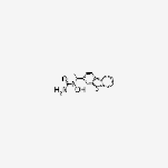 CC(c1ccc2c(c1)sc1ccccc12)N(O)C(N)=O